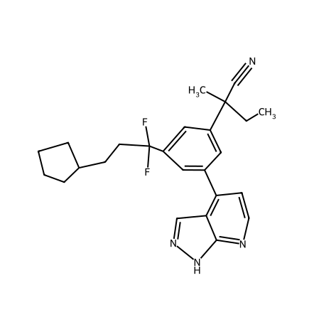 CCC(C)(C#N)c1cc(-c2ccnc3[nH]ncc23)cc(C(F)(F)CCC2CCCC2)c1